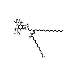 CCCCCCCCCCCCCCCC(=O)O[C@H](COC(=O)CCCCCCCCCCCS)COP(=O)(O)OC1C(O)[C@H](OP(=O)(O)O)C(O)[C@H](OP(=O)(O)O)[C@@H]1O